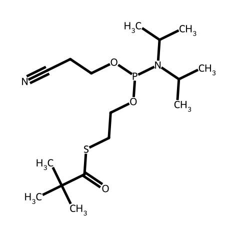 CC(C)N(C(C)C)P(OCCC#N)OCCSC(=O)C(C)(C)C